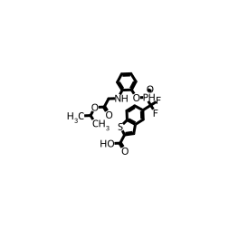 CC(C)OC(=O)CNc1ccccc1O[PH](=O)C(F)(F)c1ccc2sc(C(=O)O)cc2c1